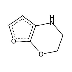 c1cc2c(o1)OCCN2